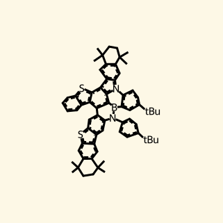 CC(C)(C)c1ccc(N2B3c4cc(C(C)(C)C)ccc4-n4c5cc6c(cc5c5c7sc8ccccc8c7c(c3c54)-c3cc4sc5cc7c(cc5c4cc32)C(C)(C)CCC7(C)C)C(C)(C)CCC6(C)C)cc1